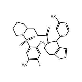 Cc1cccc(C2c3ccsc3CCN2C(=O)CCC2CCCCN2S(=O)(=O)c2cc(C)c(Cl)cc2C)c1